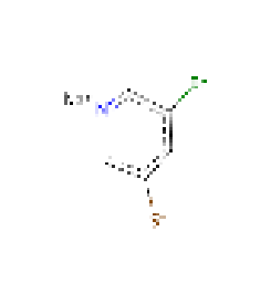 [Na+].[S-]c1cncc(Br)c1